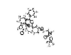 COC(=O)[C@H](Cc1ccc(OCCN(C)C(=O)OC(C)(C)C)cc1)Nc1ccccc1C(=O)c1ccccc1